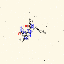 CC#CCCn1nc(C)c(O)c1-c1n[nH]c(-c2nc(C(N)=O)cc3c2cnn3C)n1